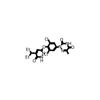 CCC(CC)c1cc(Oc2c(Cl)cc(-n3nc(C)c(=O)[nH]c3=O)cc2Cl)n[nH]c1=O